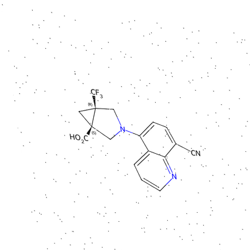 N#Cc1ccc(N2C[C@]3(C(=O)O)C[C@]3(C(F)(F)F)C2)c2cccnc12